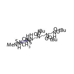 CNC(=S)N/N=C(C)/C(C)=N/NC(=S)NCCCN(CCCCN(CCCNC(=O)OC(C)(C)C)C(=O)OC(C)(C)C)C(=O)OC(C)(C)C